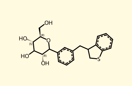 OC[C@H]1OC(c2cccc(CC3CSc4ccccc43)c2)[C@H](O)C(O)[C@@H]1O